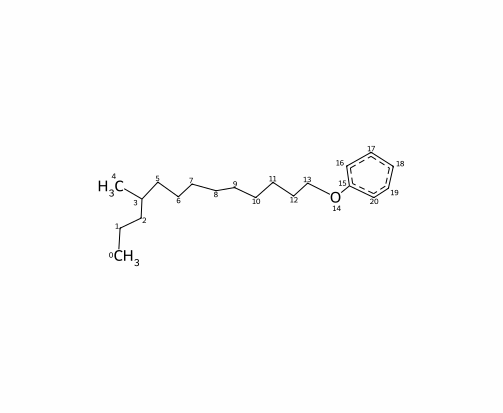 CCCC(C)CCCCCCCCCOc1ccccc1